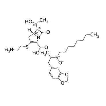 CCCCCCCC[S+]([O-])C(C)Cc1ccc2c(c1)OCO2.C[C@@H](O)[C@H]1C(=O)N2C(C(=O)O)=C(SCCN)C[C@H]12